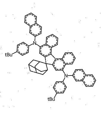 CC(C)(C)c1ccc(N(c2ccc3ccccc3c2)c2cc3c(c4ccccc24)-c2c(cc(N(c4ccc(C(C)(C)C)cc4)c4ccc5ccccc5c4)c4ccccc24)C32C3CC4CC(C3)CC2C4)cc1